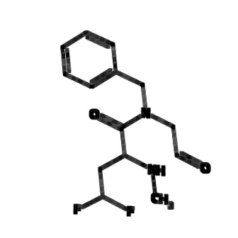 CNC(CC(F)F)C(=O)N(CC=O)Cc1ccccc1